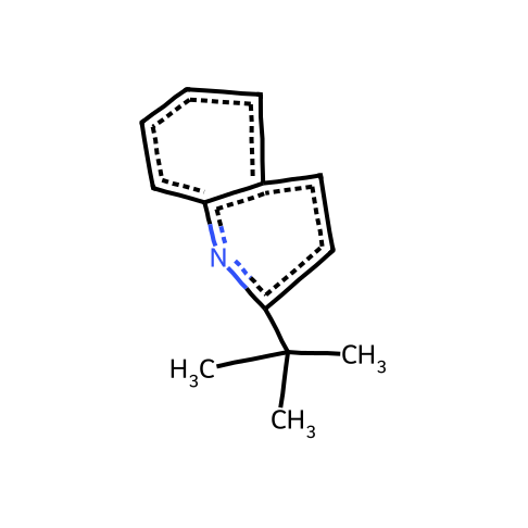 CC(C)(C)c1ccc2ccccc2n1